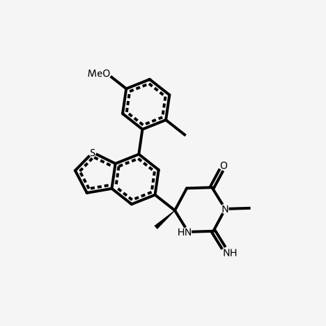 COc1ccc(C)c(-c2cc([C@]3(C)CC(=O)N(C)C(=N)N3)cc3ccsc23)c1